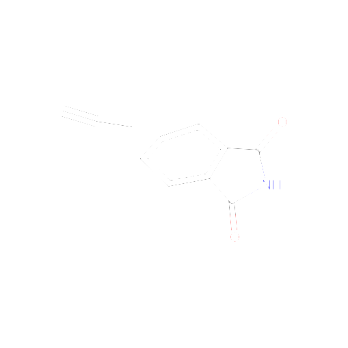 C#CC.O=C1NC(=O)c2ccccc21